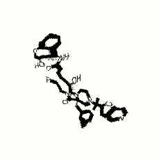 CC(C)(c1cc2cnccc2o1)N1CCN(C[C@@H](O)CCC(=O)N[C@H]2c3ccccc3OC[C@H]2O)[C@](Cc2ccccc2)(C(=O)NCCF)C1